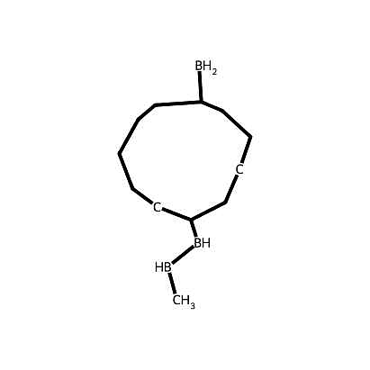 BC1CCCCCC(BBC)CCCC1